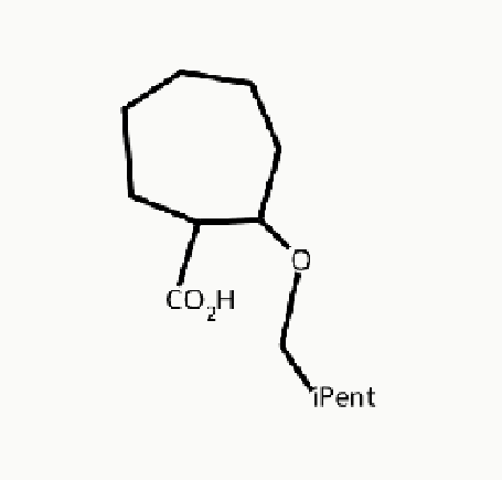 CCCC(C)COC1CCCCCC1C(=O)O